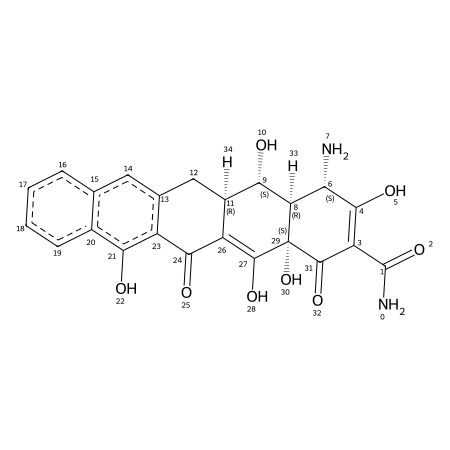 NC(=O)C1=C(O)[C@@H](N)[C@@H]2[C@@H](O)[C@@H]3Cc4cc5ccccc5c(O)c4C(=O)C3=C(O)[C@]2(O)C1=O